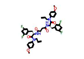 C=CCN(C(=O)[C@H](Cc1cc(F)cc(F)c1)NC(=O)CCC(=O)N[C@@H](Cc1cc(F)cc(F)c1)C(=O)N(CC=C)c1ccc(OC)cc1)c1ccc(OC)cc1